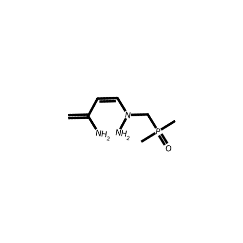 C=C(N)/C=C\N(N)CP(C)(C)=O